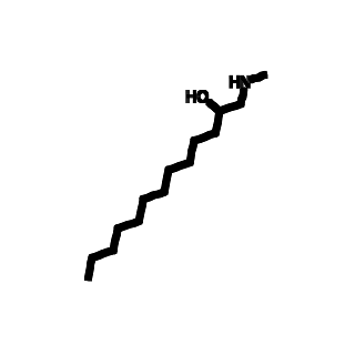 CCCCCCCCCCCC(O)CNC